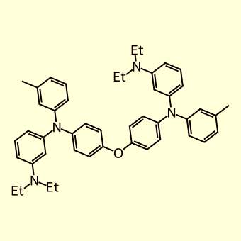 CCN(CC)c1cccc(N(c2ccc(Oc3ccc(N(c4cccc(C)c4)c4cccc(N(CC)CC)c4)cc3)cc2)c2cccc(C)c2)c1